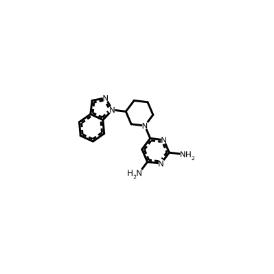 Nc1cc(N2CCCC(n3ncc4ccccc43)C2)nc(N)n1